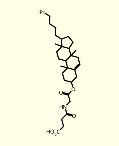 CC(C)CCCCC1CCC2C1(C)CCC1C3(C)CCC(OC(=O)CNC(=O)CCC(=O)O)CC3=CCC12C